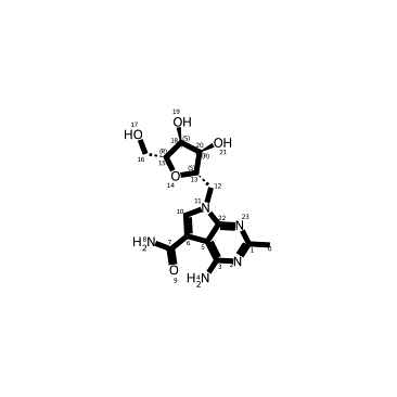 Cc1nc(N)c2c(C(N)=O)cn(C[C@@H]3O[C@H](CO)[C@@H](O)[C@H]3O)c2n1